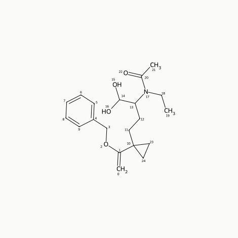 C=C(OCc1ccccc1)C1(CCC(C(O)O)N(CC)C(C)=O)CC1